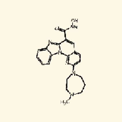 CN1CCCN(c2ccc3cc(C(=O)NO)c4nc5ccccc5n4c3n2)CC1